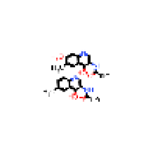 CCCC(=O)Nc1cnc2ccc(C)cc2c1O.CCCC(=O)Nc1cnc2ccc(C)cc2c1O.O